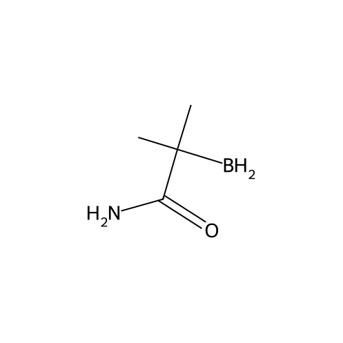 BC(C)(C)C(N)=O